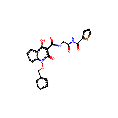 O=C(CNC(=O)c1c(O)c2ccccc2n(OCc2ccccc2)c1=O)NC(=O)c1cccs1